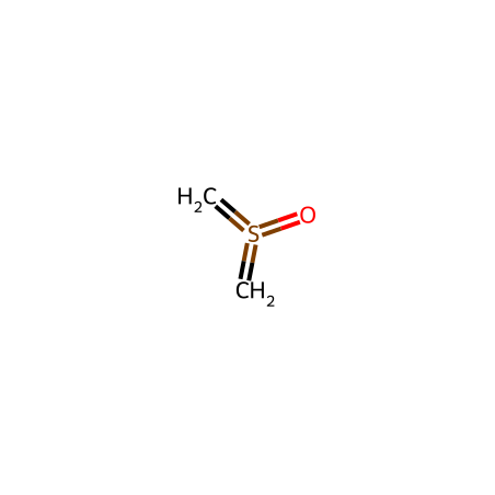 C=S(=C)=O